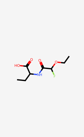 CCOC(F)C(=O)NC(CC)C(=O)O